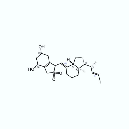 C[C@H](/C=C/I)[C@H]1CC[C@H]2/C(=C/C3C4=C(CS3(=O)=O)[C@@H](O)C[C@H](O)C4)CCC[C@]12C